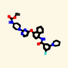 CC(C)(C)OC(=O)NC1CCN(c2nccc(Oc3ccc(NC(=O)c4cc(F)cc(N5CCCCC5)c4)c4ccccc34)n2)CC1